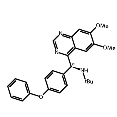 COc1cc2ncnc([C@@H](NC(C)(C)C)c3ccc(Oc4ccccc4)cc3)c2cc1OC